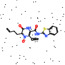 C=CCCc1c(=O)[nH]c(C(=O)Nc2nc3ccccc3s2)c(OC)[n+]1[O-]